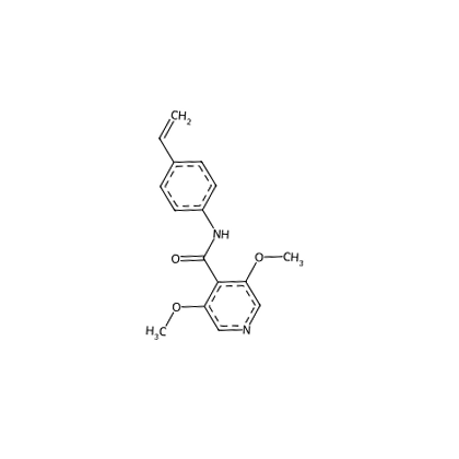 C=Cc1ccc(NC(=O)c2c(OC)cncc2OC)cc1